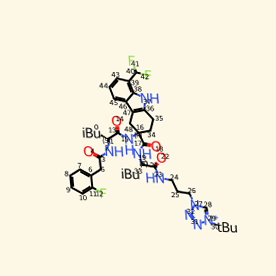 CCC(C)[C@H](NC(=O)Cc1ccccc1F)C(=O)N[C@]1(C(=O)N[C@H](C(=O)NCCCn2c[n+](C(C)(C)C)nn2)C(C)CC)CCc2[nH]c3c(C(F)F)cccc3c2C1